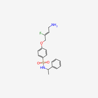 CC(NS(=O)(=O)c1ccc(OCC(F)=CCN)cc1)c1ccccc1